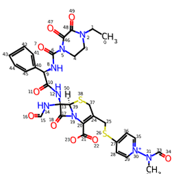 CCN1CCN(C(=O)N[C@@H](C(=O)N[C@]2(NC=O)C(=O)N3C(C(=O)[O-])=C(CSc4cc[n+](N(C)C=O)cc4)CS[C@@H]32)c2ccccc2)C(=O)C1=O